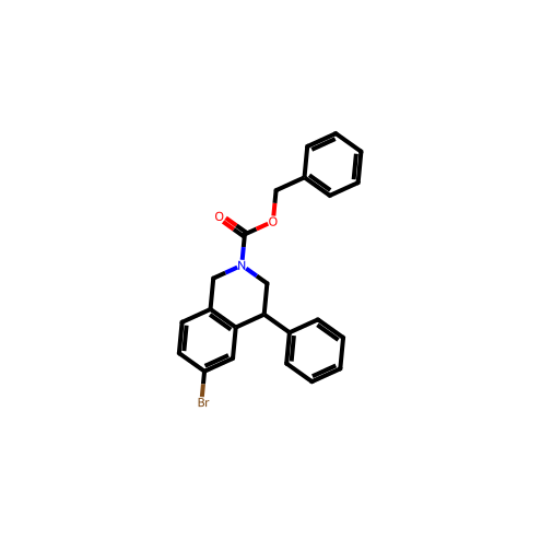 O=C(OCc1ccccc1)N1Cc2ccc(Br)cc2C(c2ccccc2)C1